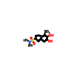 CCCN(CCC)S(=O)(=O)c1ccc2c([N+](=O)[O-])c(O)c(O)cc2c1